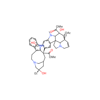 CC[C@]1(O)CC2CN(CCc3c([nH]c4ccccc34)[C@@](C(=O)OC)(c3cc4c(cc3CO)N(C)C3C45CCN4CC=C[C@](CC)(C45)[C@@H](OC(C)=O)[C@]3(O)C(=O)OC)C2)C1